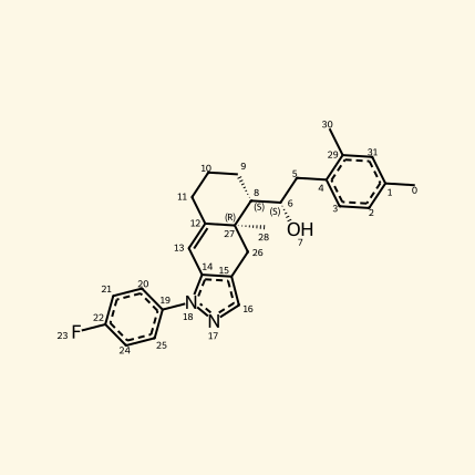 Cc1ccc(C[C@H](O)[C@H]2CCCC3=Cc4c(cnn4-c4ccc(F)cc4)C[C@@]32C)c(C)c1